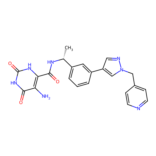 C[C@@H](NC(=O)c1[nH]c(=O)[nH]c(=O)c1N)c1cccc(-c2cnn(Cc3ccncc3)c2)c1